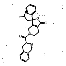 CC(C)CC1(c2ccccc2)OC(=O)C2=C1CN(C(=O)C1Cc3ccccc3CN1)CC2